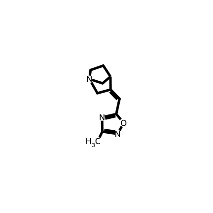 Cc1noc(/C=C2\CN3CCC2C3)n1